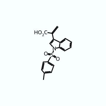 C=C(C(=O)O)c1cn(S(=O)(=O)c2ccc(C)cc2)c2ccccc12